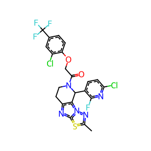 Cc1nn2c3c(nc2s1)CCN(C(=O)COc1ccc(C(F)(F)F)cc1Cl)C3c1ccc(Cl)nc1F